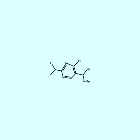 CNC(c1cnc(C(F)F)nc1Cl)C(C)C